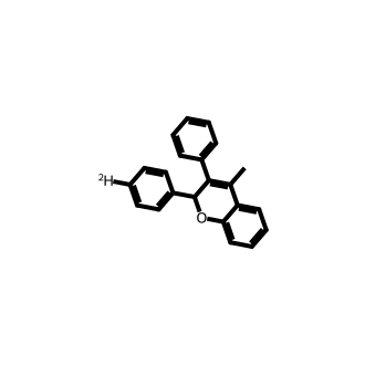 [2H]c1ccc(C2Oc3ccccc3C(C)=C2c2ccccc2)cc1